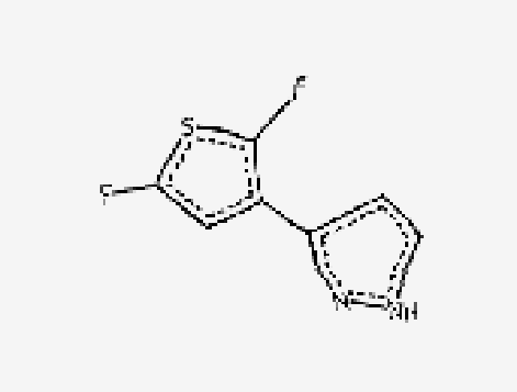 Fc1cc(-c2cc[nH]n2)c(F)s1